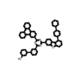 N#Cc1cccc(-c2cccc(-c3nc(-c4ccc5c(c4)oc4cccc(-c6ccc(-c7ccccc7)cc6)c45)nc(-c4ccc5c6ccccc6c6ccccc6c5c4)n3)c2)c1